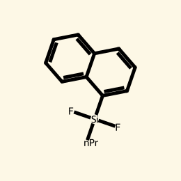 CCC[Si](F)(F)c1cccc2ccccc12